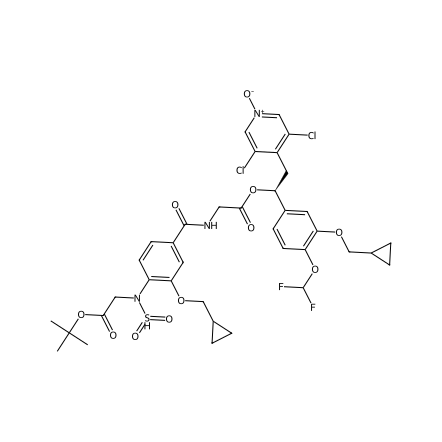 CC(C)(C)OC(=O)CN(c1ccc(C(=O)NCC(=O)O[C@@H](Cc2c(Cl)c[n+]([O-])cc2Cl)c2ccc(OC(F)F)c(OCC3CC3)c2)cc1OCC1CC1)[SH](=O)=O